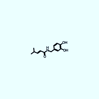 CC(C)/C=C/C(=O)NCc1ccc(O)c(O)c1